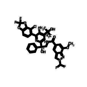 COc1cc(C(=O)NC[C@@](O)(c2ccccc2)c2cc(C(C)(C)O)c(F)c(-c3ccc4c(c3Cl)OC(F)(F)O4)n2)cc2cn(C(F)F)nc12